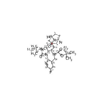 CO[C@H]1C[C@H]2CC[C@@H](C1)N2c1ccc2c(c1)N(C(=O)OC(C)(C)C)Cc1cc(F)cnc1N2C(=O)OC(C)(C)C